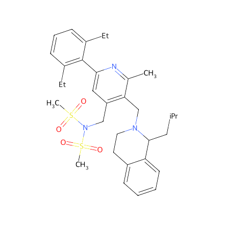 CCc1cccc(CC)c1-c1cc(CN(S(C)(=O)=O)S(C)(=O)=O)c(CN2CCc3ccccc3C2CC(C)C)c(C)n1